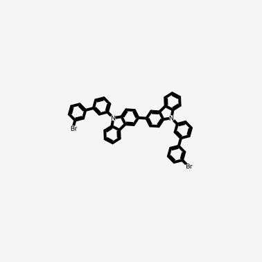 Brc1cccc(-c2cccc(-n3c4ccccc4c4cc(-c5ccc6c(c5)c5ccccc5n6-c5cccc(-c6cccc(Br)c6)c5)ccc43)c2)c1